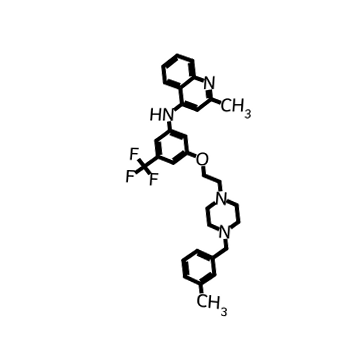 Cc1cccc(CN2CCN(CCOc3cc(Nc4cc(C)nc5ccccc45)cc(C(F)(F)F)c3)CC2)c1